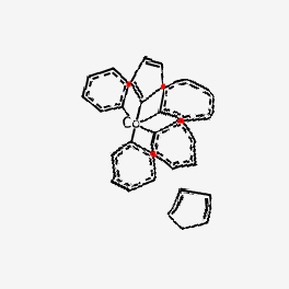 C1=CCC=C1.C1=CC[C]([Co]([c]2ccccc2)([c]2ccccc2)([c]2ccccc2)[c]2ccccc2)=C1